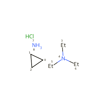 C1CC1.CCN(CC)CC.Cl.N